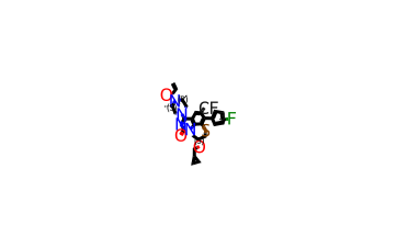 C=CC(=O)N1[C@H](C)CN(c2nc(=O)n3c4c(c(-c5ccc(F)cc5)c(C(F)(F)F)cc24)SC[C@@H](OCC2CC2)C3)C[C@@H]1C